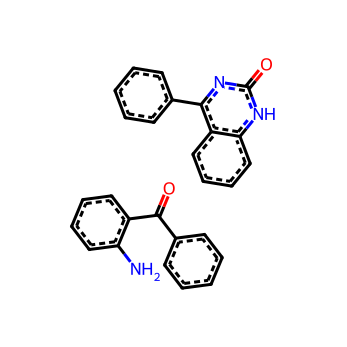 Nc1ccccc1C(=O)c1ccccc1.O=c1nc(-c2ccccc2)c2ccccc2[nH]1